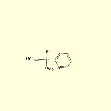 C#CC(CC)(OC)c1ccccn1